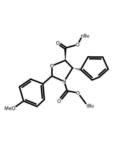 CCCCOC(=O)[C@@H]1OC(c2ccc(OC)cc2)N(C(=O)OC(C)(C)C)[C@H]1c1ccccc1